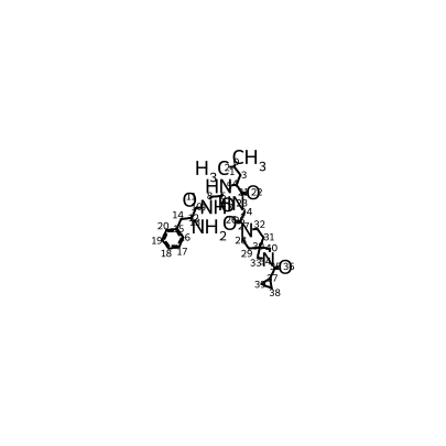 CC(C)CC(NC(=O)CNC(=O)C(N)Cc1ccccc1)C(=O)NCC(=O)N1CCC2(CC1)CN(C(=O)C1CC1)C2